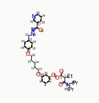 CCC(C(=O)OOc1cccc(OCCCCCOc2ccc(CN=NC(=O)c3cccnc3)cc2)c1)C(=O)N(C(C)C)C(C)C